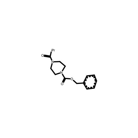 CC(C)C(=O)N1CCN(C(=O)OCc2ccccc2)CC1